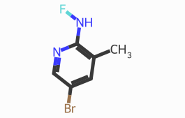 Cc1cc(Br)cnc1NF